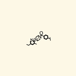 CCc1cnc(N2CCN(C(=O)c3ccc(I)cc3)CC2)c(C)c1